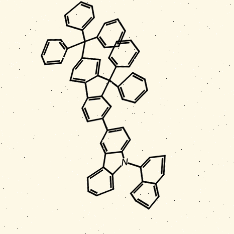 c1ccc(C(c2ccccc2)(c2ccccc2)c2ccc3c(c2)C(c2ccccc2)(c2ccccc2)c2cc(-c4ccc5c(c4)c4ccccc4n5-c4cccc5ccccc45)ccc2-3)cc1